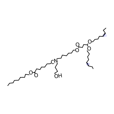 CC/C=C\CCCCOC(CCC(=O)OCCCCCCCN(CCCCO)CCCCCCCC(=O)OCCCCCCCCC)OCCCC/C=C\CC